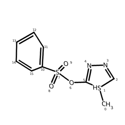 C[SH]1C=NN=C1OS(=O)(=O)c1ccccc1